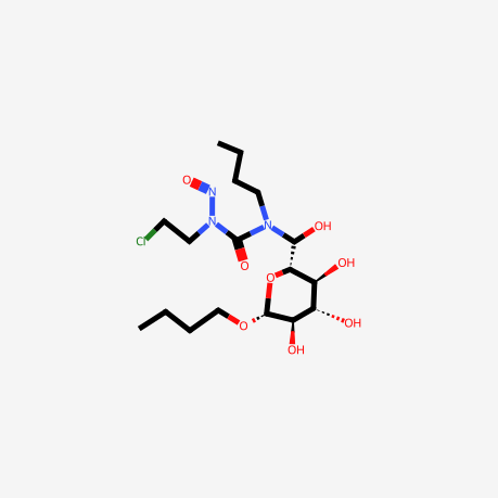 CCCCO[C@@H]1O[C@H](C(O)N(CCCC)C(=O)N(CCCl)N=O)[C@@H](O)[C@H](O)[C@H]1O